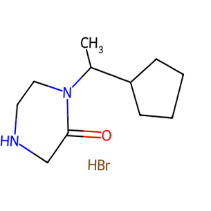 Br.CC(C1CCCC1)N1CCNCC1=O